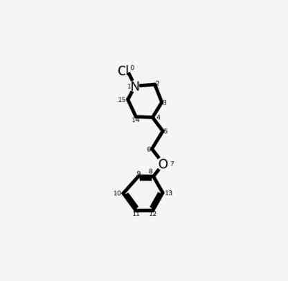 ClN1CCC(CCOc2ccccc2)CC1